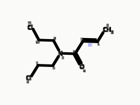 C/C=C/C(=O)N(CCCl)CCCl